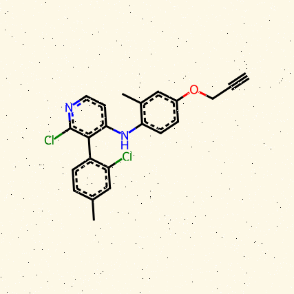 C#CCOc1ccc(Nc2ccnc(Cl)c2-c2ccc(C)cc2Cl)c(C)c1